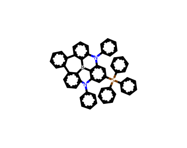 c1ccc(N2c3cccc4c3B3c5c(cccc5N(c5ccccc5)c5cc(S(c6ccccc6)(c6ccccc6)c6ccccc6)cc2c53)-c2ccccc2-4)cc1